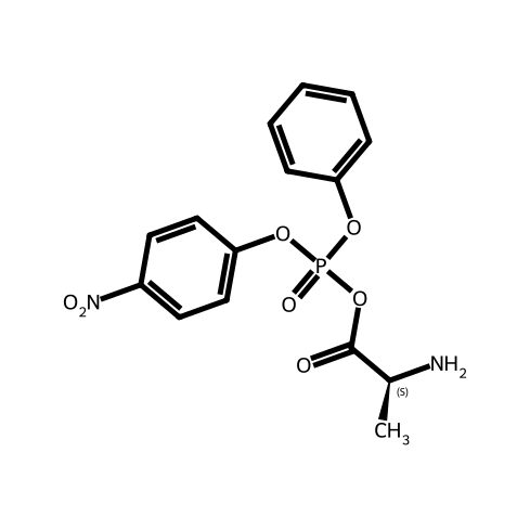 C[C@H](N)C(=O)OP(=O)(Oc1ccccc1)Oc1ccc([N+](=O)[O-])cc1